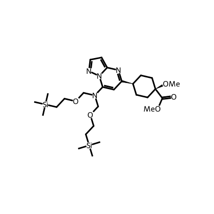 COC(=O)[C@]1(OC)CC[C@@H](c2cc(N(COCC[Si](C)(C)C)COCC[Si](C)(C)C)n3nccc3n2)CC1